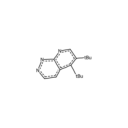 CC(C)(C)c1cnc2nnccc2c1C(C)(C)C